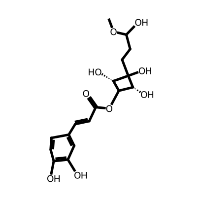 COC(O)CCC1(O)[C@H](O)C(OC(=O)/C=C/c2ccc(O)c(O)c2)[C@@H]1O